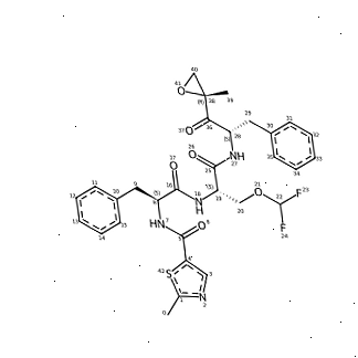 Cc1ncc(C(=O)N[C@@H](Cc2ccccc2)C(=O)N[C@@H](COC(F)F)C(=O)N[C@@H](Cc2ccccc2)C(=O)[C@@]2(C)CO2)s1